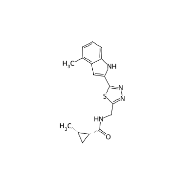 Cc1cccc2[nH]c(-c3nnc(CNC(=O)[C@@H]4C[C@@H]4C)s3)cc12